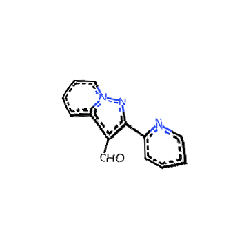 O=Cc1c(-c2ccccn2)nn2ccccc12